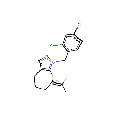 [CH2]/C(F)=C1\CCCc2cnn(Cc3ccc(Cl)cc3Cl)c21